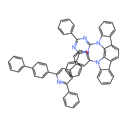 c1ccc(-c2ccc(-c3cc(-c4cccc(-n5c6ccccc6c6ccc7c8ccccc8n(-c8nc(-c9ccccc9)nc(-c9ccccc9)n8)c7c65)c4)cc(-c4ccccc4)n3)cc2)cc1